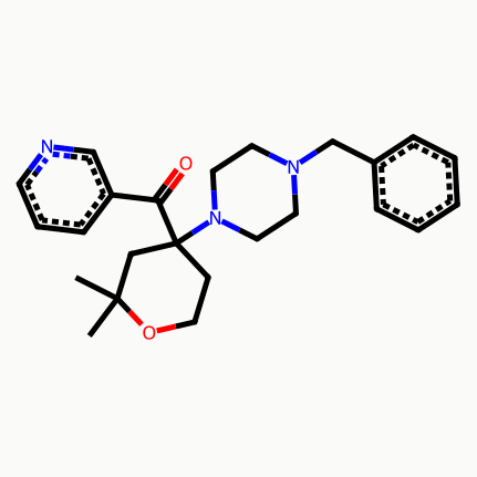 CC1(C)CC(C(=O)c2cccnc2)(N2CCN(Cc3ccccc3)CC2)CCO1